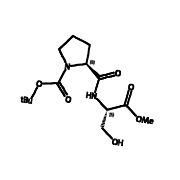 COC(=O)[C@H](CO)NC(=O)[C@@H]1CCCN1C(=O)OC(C)(C)C